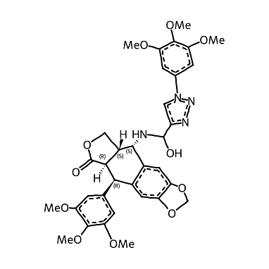 COc1cc([C@@H]2c3cc4c(cc3[C@@H](NC(O)c3cn(-c5cc(OC)c(OC)c(OC)c5)nn3)[C@H]3COC(=O)[C@H]23)OCO4)cc(OC)c1OC